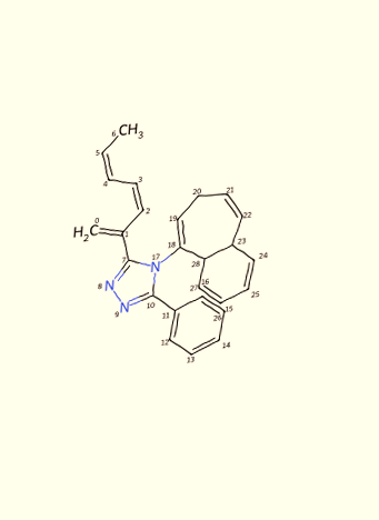 C=C(/C=C\C=C/C)c1nnc(-c2ccccc2)n1C1=CCC=CC2C=CC=CC12